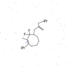 C=C(CC(C)C)CC1CCCC/C(C(C)C)=C(/C)C1(F)F